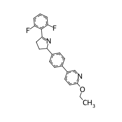 CCOc1ccc(-c2ccc(C3CCC(c4c(F)cccc4F)=N3)cc2)cn1